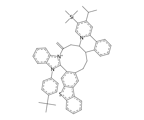 C=C1CC2C(CCc3cc4c(cc3-c3n(-c5ccc(C(C)(C)C)cc5)c5ccccc5[n+]31)sc1ccccc14)c1ccccc1-c1cc(C(C)C)c([Si](C)(C)C)c[n+]12